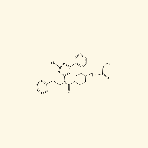 CC(C)(C)OC(=O)NCC1CCC(C(=O)N(CCc2ccccc2)c2cc(-c3ccccc3)cc(Cl)n2)CC1